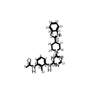 CC(=O)Nc1cccc(Nc2ncnc(N3CCC(c4nc5ccccc5s4)CC3)n2)c1C